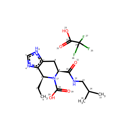 CC[C@H]1c2nc[nH]c2C[C@@H](C(=O)NCC(C)C)N1C(=O)O.O=C(O)C(F)(F)F